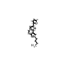 CCCCn1cc2c(ncn3nc(-c4ccco4)nc23)n1